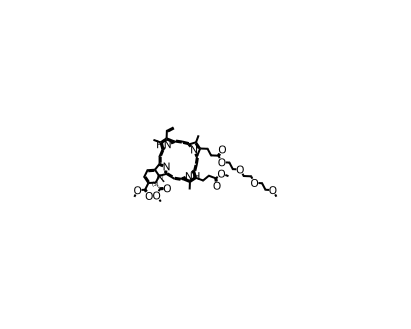 C=Cc1c(C)c2cc3nc(cc4[nH]c(cc5nc(cc1[nH]2)C(C)=C5CCC(=O)OCCOCCOCCOC)c(CCC(=O)OC)c4C)[C@@]1(C)C3=CC=C(C(=O)OC)[C@H]1C(=O)OC